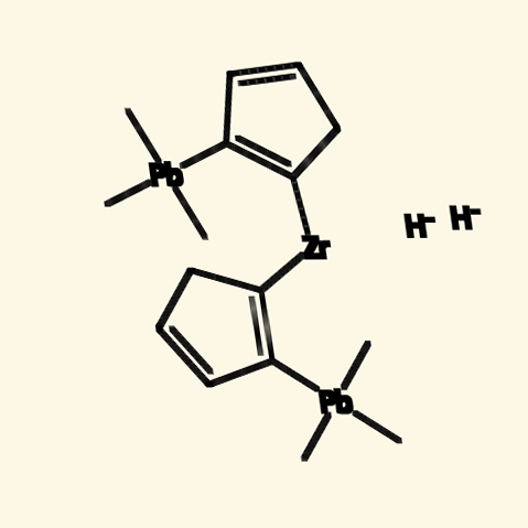 [CH3][Pb]([CH3])([CH3])[C]1=[C]([Zr][C]2=[C]([Pb]([CH3])([CH3])[CH3])C=CC2)CC=C1.[H-].[H-]